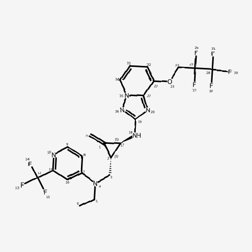 C=C1[C@@H](CN(CC)c2ccnc(C(F)(F)F)c2)[C@@H]1Nc1nc2c(OCC(F)(F)C(F)(F)F)cccn2n1